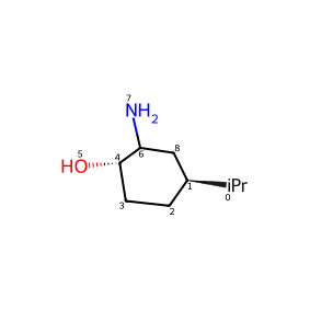 CC(C)[C@H]1CC[C@H](O)C(N)C1